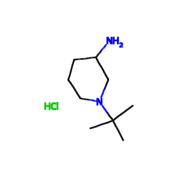 CC(C)(C)N1CCCC(N)C1.Cl